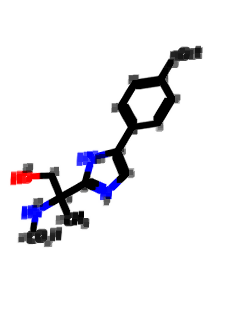 CCCCCCCCc1ccc(-c2cnc(C(C)(CO)NC(=O)O)[nH]2)cc1